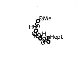 CCCCCCCOc1ccccc1C(=O)Oc1ccc(CN(CC(=O)O)C(=O)c2ccc(NC(=O)Cc3ccc(OC)cc3)cc2)cc1